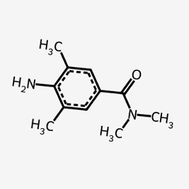 Cc1cc(C(=O)N(C)C)cc(C)c1N